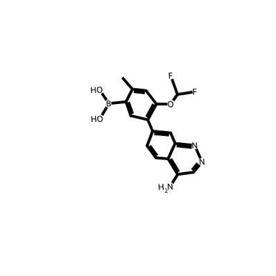 Cc1cc(OC(F)F)c(-c2ccc3c(N)cnnc3c2)cc1B(O)O